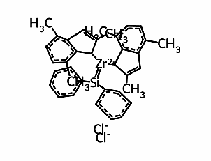 CC1=Cc2c(C)ccc(C)c2[CH]1[Zr+2]([CH]1C(C)=Cc2c(C)ccc(C)c21)=[Si](c1ccccc1)c1ccccc1.[Cl-].[Cl-]